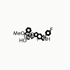 COC(=O)c1ccccc1S(=O)(=O)N(CCO)C[C@H]1CCC2=C1[C@@H](C)C1=CNN(c3ccc(F)cc3)C1=C2